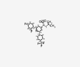 C=C(C)CC(C(=O)O)c1cc(-c2ccc(C(F)(F)F)cc2)nc(-c2ccc(F)cc2F)c1